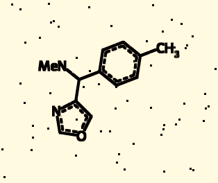 CNC(c1ccc(C)cc1)c1cocn1